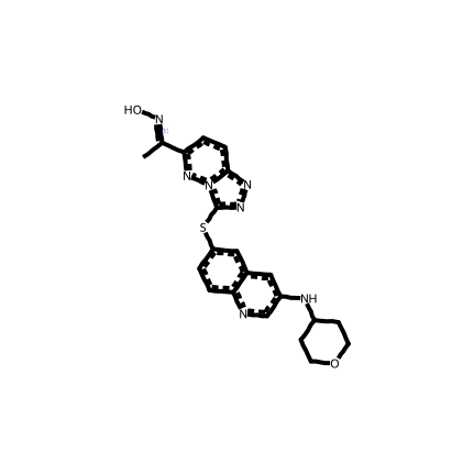 C/C(=N\O)c1ccc2nnc(Sc3ccc4ncc(NC5CCOCC5)cc4c3)n2n1